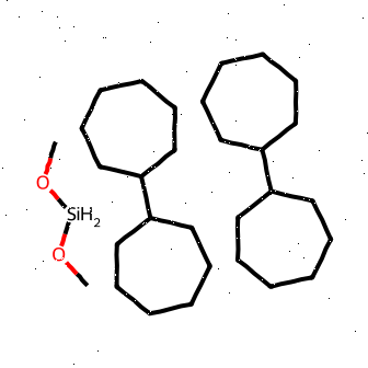 C1CCCC(C2CCCCCC2)CC1.C1CCCC(C2CCCCCC2)CC1.CO[SiH2]OC